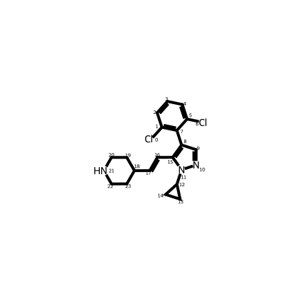 Clc1cccc(Cl)c1-c1cnn(C2CC2)c1C=CC1CCNCC1